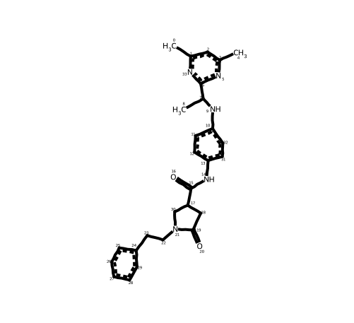 Cc1cc(C)nc(C(C)Nc2ccc(NC(=O)C3CC(=O)N(CCc4ccccc4)C3)cc2)n1